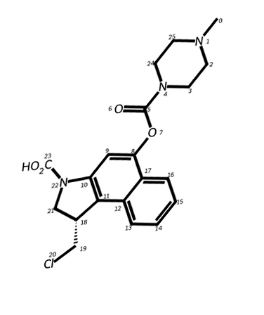 CN1CCN(C(=O)Oc2cc3c(c4ccccc24)[C@H](CCl)CN3C(=O)O)CC1